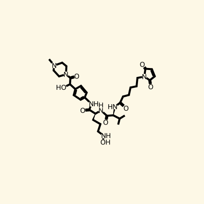 CC(C)[C@H](NC(=O)CCCCCN1C(=O)C=CC1=O)C(=O)N[C@@H](CCCNO)C(=O)Nc1ccc(C(O)C(=O)N2CCN(C)CC2)cc1